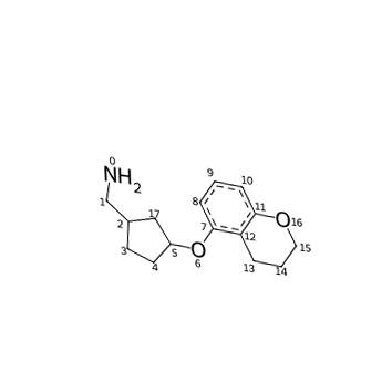 NCC1CCC(Oc2cccc3c2CCCO3)C1